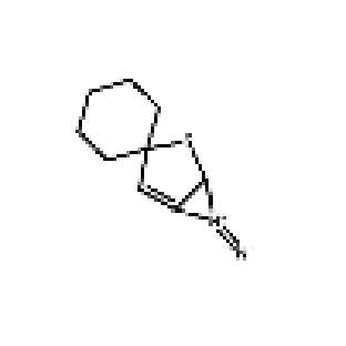 [N-]=[N+]1C2=CC3(CCCCC3)SC21